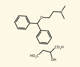 CN(C)CCOC(c1ccccc1)c1ccccc1.O=C(O)CC(O)C(=O)O